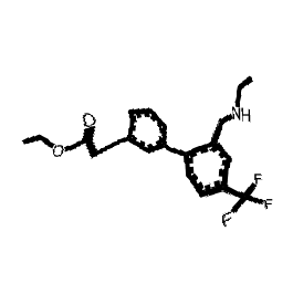 CCNCc1cc(C(F)(F)F)ccc1-c1cccc(CC(=O)OCC)c1